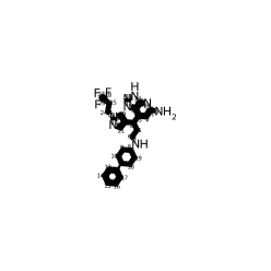 Nc1cc(C(CCN[C@H]2CC[C@H](c3ccccc3)CC2)c2cnn(CCC(F)(F)F)c2)c2nn[nH]c2n1